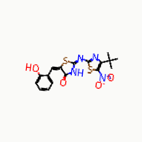 CC(C)(C)c1nc(N=C2NC(=O)C(=Cc3ccccc3O)S2)sc1[N+](=O)[O-]